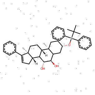 CC(C)(C)[Si](O[C@H]1CC[C@@]2(C)C(C1)[C@@H](O)[C@H](O)C1[C@@H]2CC[C@]2(C)C(c3ccccc3)=CC[C@@H]12)(c1ccccc1)c1ccccc1